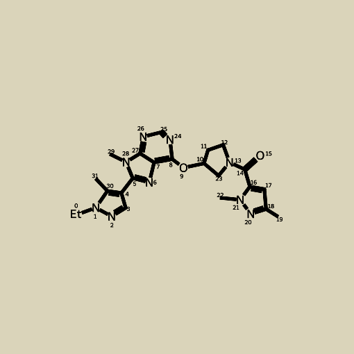 CCn1ncc(-c2nc3c(OC4CCN(C(=O)c5cc(C)nn5C)C4)ncnc3n2C)c1C